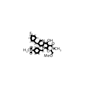 COCCN(C)C(=O)c1c(O)c2ncc(Cc3ccc(F)cc3)cc2n(Cc2ccc(S(C)(=O)=O)cc2)c1=O